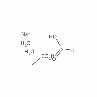 CC(=O)O.O.O.O=S([O-])O.[Na+]